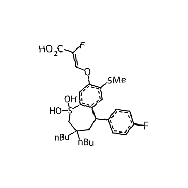 CCCCC1(CCCC)CC(c2ccc(F)cc2)c2cc(SC)c(O/C=C(\F)C(=O)O)cc2S(O)(O)C1